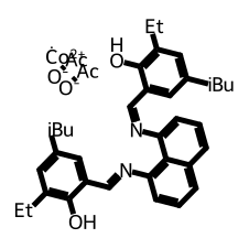 CC(=O)[O-].CC(=O)[O-].CCc1cc(C(C)CC)cc(C=Nc2cccc3cccc(N=Cc4cc(C(C)CC)cc(CC)c4O)c23)c1O.[Co+2]